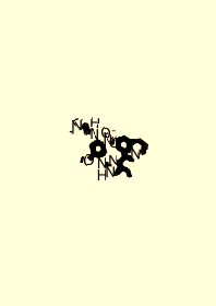 CCc1cnc(Nc2cc([N+](=O)[O-])c(NCCN(C)C)cc2OC)nc1-c1cn2c3c(cccc13)CCC2